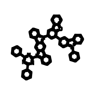 c1ccc(-c2nc(-c3ccccc3)nc(-n3c4ccccc4c4cc5c(cc43)c3ccccc3n5-c3cc(-c4ccc5c(c4)c4ccccc4n5-c4ccccc4)c4oc5ccccc5c4c3)n2)cc1